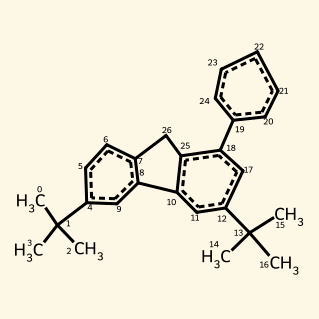 CC(C)(C)c1ccc2c(c1)-c1cc(C(C)(C)C)cc(-c3ccccc3)c1C2